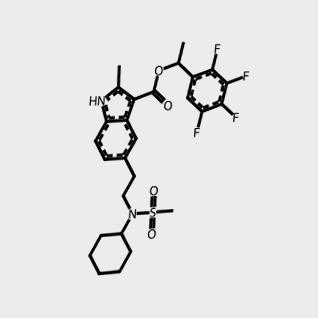 Cc1[nH]c2ccc(CCN(C3CCCCC3)S(C)(=O)=O)cc2c1C(=O)OC(C)c1cc(F)c(F)c(F)c1F